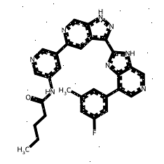 CCCCC(=O)Nc1cncc(-c2cc3c(-c4nc5c(-c6cc(C)cc(F)c6)cncc5[nH]4)n[nH]c3cn2)c1